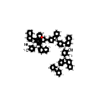 N#Cc1ccc(-n2c3ccc4ccccc4c3c3c4cc(-c5ccc6c(c5)c5ccccc5n6-c5ccc6c(c5)c5c7ccccc7ccc5n6-c5ccc(-n6c7ccc(-n8c9ccccc9c9ccccc98)cc7c7c8ccccc8ccc76)c(C#N)c5C#N)ccc4ccc32)c(-n2c3ccc4ccccc4c3c3c4ccccc4ccc32)c1C#N